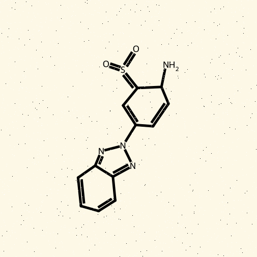 NC1C=CC(n2nc3ccccc3n2)=CC1=S(=O)=O